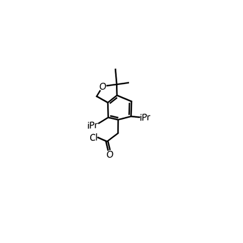 CC(C)c1cc2c(c(C(C)C)c1CC(=O)Cl)COC2(C)C